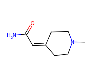 CN1CCC(=CC(N)=O)CC1